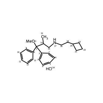 COC(c1ccccc1)(c1ccccc1)C(C)CNCCC1CCC1.Cl